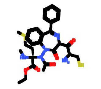 CCOC(=O)[C@@](CCSC)(NC)N(C(C)=O)N1C(=O)C(C(=O)C(N)CS)N=C(c2ccccc2)c2ccccc21